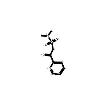 CN(C)S(=O)(=O)CC(=O)c1ccccn1